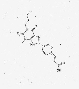 CCCCn1c(=O)c2nc(-c3ccc(C=CC(=O)O)cc3)[nH]c2n(C)c1=O